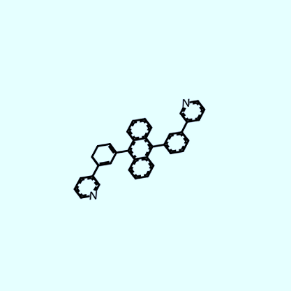 C1=C(c2cccnc2)CCC=C1c1c2ccccc2c(-c2cccc(-c3cccnc3)c2)c2ccccc12